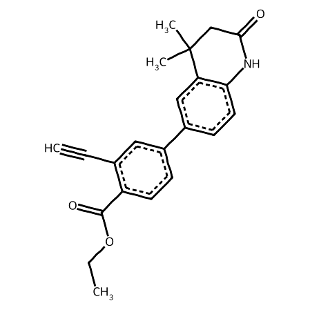 C#Cc1cc(-c2ccc3c(c2)C(C)(C)CC(=O)N3)ccc1C(=O)OCC